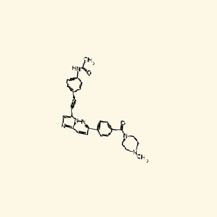 CC(=O)Nc1ccc(C#Cc2cnc3ccc(-c4ccc(C(=O)N5CCN(C)CC5)cc4)nn23)cc1